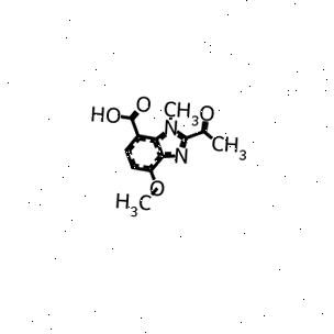 COc1ccc(C(=O)O)c2c1nc(C(C)=O)n2C